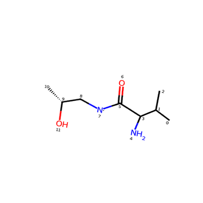 CC(C)C(N)C(=O)[N]C[C@@H](C)O